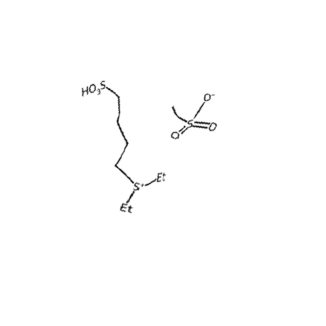 CC[S+](CC)CCCCS(=O)(=O)O.CS(=O)(=O)[O-]